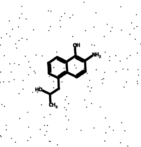 CC(O)Cc1cccc2c(O)c(N)ccc12